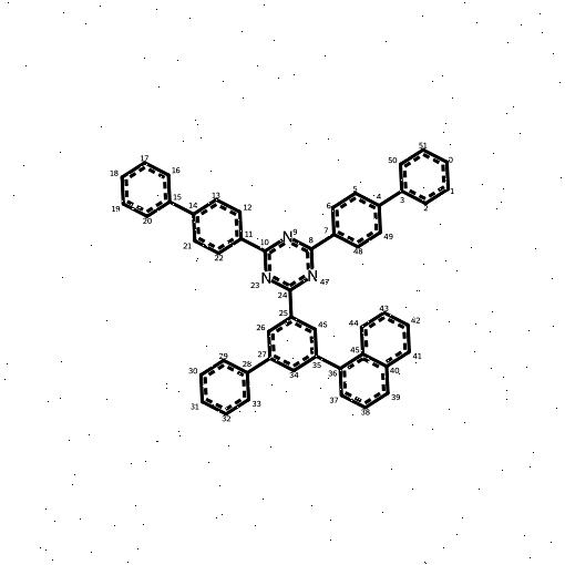 c1ccc(-c2ccc(-c3nc(-c4ccc(-c5ccccc5)cc4)nc(-c4cc(-c5ccccc5)cc(-c5cccc6ccccc56)c4)n3)cc2)cc1